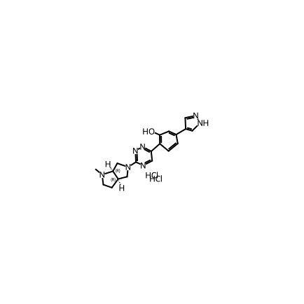 CN1CC[C@@H]2CN(c3ncc(-c4ccc(-c5cn[nH]c5)cc4O)nn3)C[C@@H]21.Cl.Cl